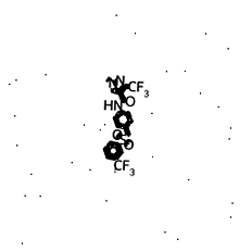 Cn1cc(C(=O)NC2CCC(CS(=O)(=O)c3cccc(C(F)(F)F)c3)CC2)c(C(F)(F)F)n1